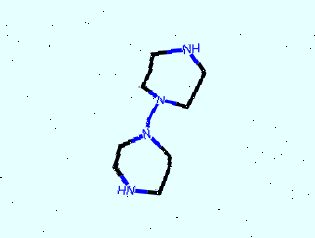 [CH]1CNCCN1N1CCNCC1